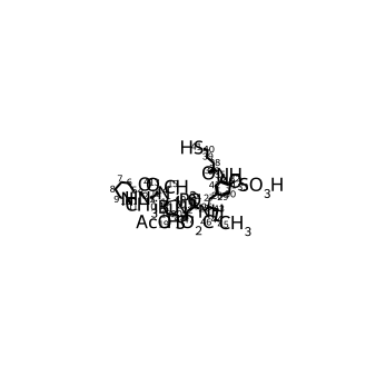 CC[C@H](C)C(NC(=O)[C@H]1CCCCN1C)C(=O)N(C)[C@H](C[C@@H](OC(C)=O)c1nc(C(=O)N[C@@H](Cc2ccc(OS(=O)(=O)O)c(NC(=O)CCCS)c2)CC(C)C(=O)O)cs1)C(C)C